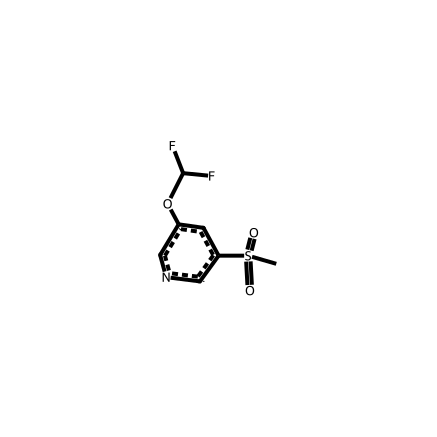 CS(=O)(=O)c1[c]ncc(OC(F)F)c1